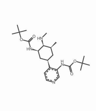 CN[C@H]1[C@@H](C)C[C@@H](c2ccncc2NC(=O)OC(C)(C)C)C[C@H]1NC(=O)OC(C)(C)C